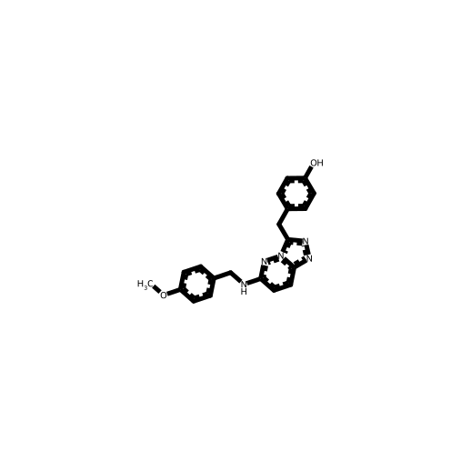 COc1ccc(CNc2ccc3nnc(Cc4ccc(O)cc4)n3n2)cc1